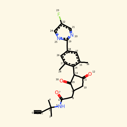 C#CC(C)(C)NC(=O)CC1CC(=O)C(c2c(C)cc(-c3ncc(F)cn3)cc2C)C1=O